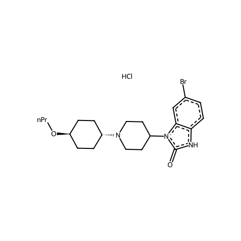 CCCO[C@H]1CC[C@H](N2CCC(n3c(=O)[nH]c4ccc(Br)cc43)CC2)CC1.Cl